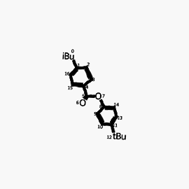 CCC(C)c1ccc(C(=O)Oc2ccc(C(C)(C)C)cc2)cc1